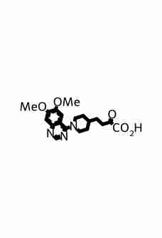 COc1cc2ncnc(N3CCC(CCC(=O)C(=O)O)CC3)c2cc1OC